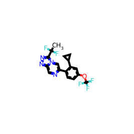 CC(F)(F)c1nnc2cnc(-c3ccc(OC(F)(F)F)cc3C3CC3)cn12